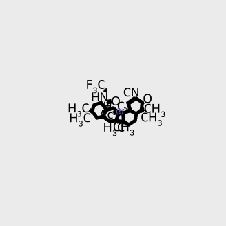 CC(=O)/C=C1/[C@@]2(C)C=C(C#N)C(=O)C(C)(C)C2CC[C@@]1(C)[C@]1(C)CC[C@@]2(C(=O)NCC(F)(F)F)CCC(C)(C)CC2C1